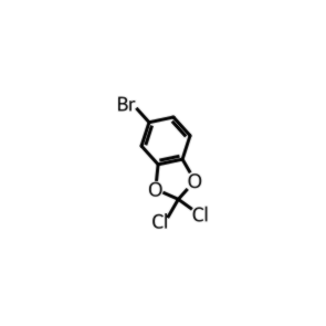 ClC1(Cl)Oc2ccc(Br)cc2O1